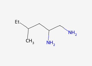 CCC(C)CC(N)CN